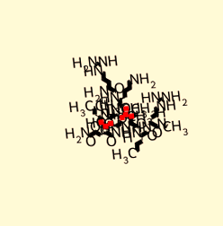 CCCC[C@H](NC(=O)[C@@H](NC(=O)[C@H](CC(=O)O)NC(=O)[C@H](CCC(N)=O)NC(=O)[C@H](CC(C)C)NC(=O)[C@H](CC(C)C)NC(=O)[C@H](CCCCN)NC(=O)[C@@H](N)CCCNC(=N)N)[C@@H](C)CC)C(=O)N[C@H](CCCNC(=N)N)C(=O)NC